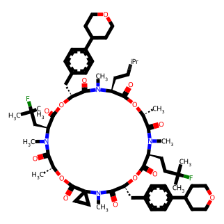 CC(C)CC[C@H]1C(=O)O[C@H](C)C(=O)N(C)[C@@H](CCC(C)(C)F)C(=O)O[C@H](Cc2ccc(C3CCOCC3)cc2)C(=O)N(C)C2(CC2)C(=O)O[C@H](C)C(=O)N(C)[C@@H](CC(C)(C)F)C(=O)O[C@H](Cc2ccc(C3CCOCC3)cc2)C(=O)N1C